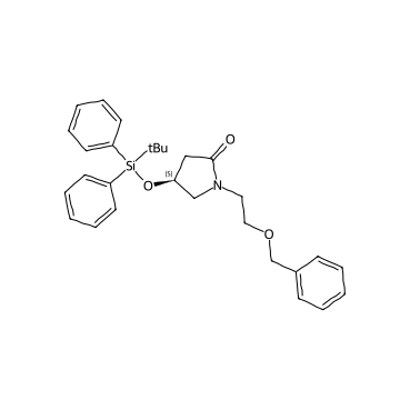 CC(C)(C)[Si](O[C@H]1CC(=O)N(CCOCc2ccccc2)C1)(c1ccccc1)c1ccccc1